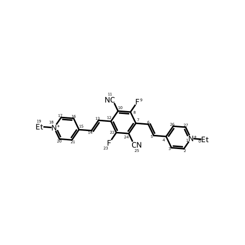 CC[n+]1ccc(/C=C/c2c(F)c(C#N)c(/C=C/c3cc[n+](CC)cc3)c(F)c2C#N)cc1